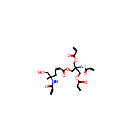 C=CC(=O)NC(C)(CO)C/C=C\C(=O)OCC(COC(=O)C=C)(COC(=O)C=C)NC(=O)C=C